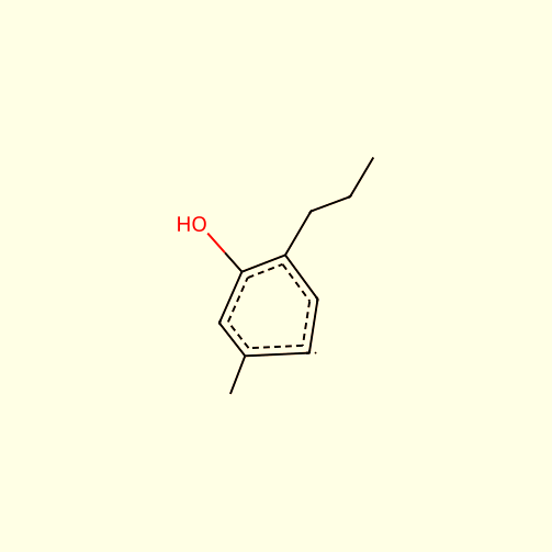 CCCc1c[c]c(C)cc1O